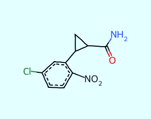 NC(=O)C1CC1c1cc(Cl)ccc1[N+](=O)[O-]